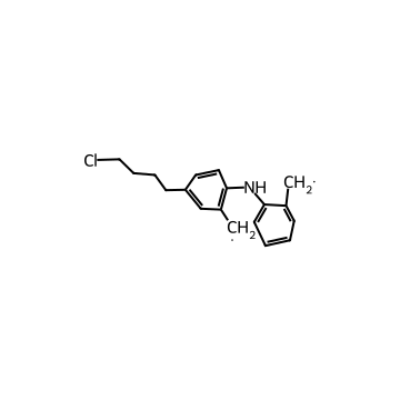 [CH2]c1ccccc1Nc1ccc(CCCCCl)cc1[CH2]